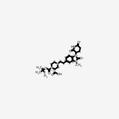 Cn1c(=O)n(C2CCC(=O)NC2=O)c2ccc(CCN3CCN(C(=O)OC(C)(C)C)[C@@H](C(=O)O)C3)cc21